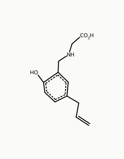 C=CCc1ccc(O)c(CNCC(=O)O)c1